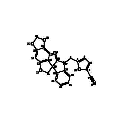 N#Cc1ccc(CN2C(=O)C3(COc4cc5c(cc43)OCO5)c3ccccc32)o1